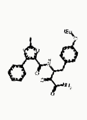 Cc1nc(-c2ccccc2)c(C(=O)NC(Cc2ccc(OC(C)(C)C)cc2)C(=O)C(N)=O)o1